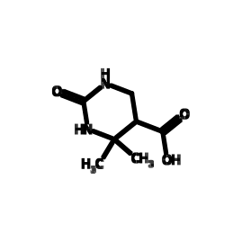 CC1(C)NC(=O)NCC1C(=O)O